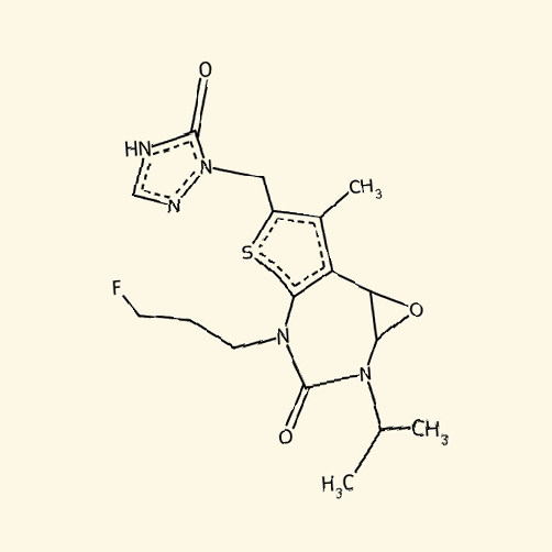 Cc1c(Cn2nc[nH]c2=O)sc2c1C1OC1N(C(C)C)C(=O)N2CCCF